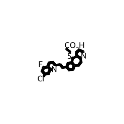 O=C(O)CCSC1c2cc(C=Cc3ccc4c(F)cc(Cl)cc4n3)ccc2C=Cc2ncccc21